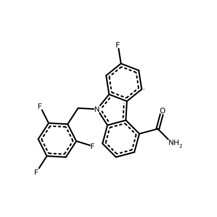 NC(=O)c1cccc2c1c1[c]cc(F)cc1n2Cc1c(F)cc(F)cc1F